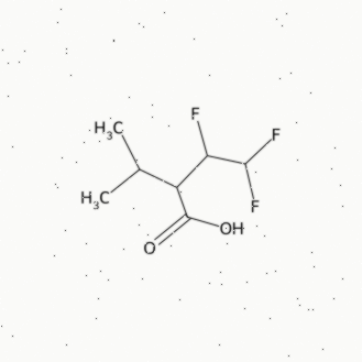 CC(C)C(C(=O)O)C(F)C(F)F